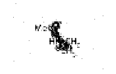 COc1ccccc1-n1cc(-c2nc3c([nH]2)c(=O)n(C)c(=O)n3C)nn1